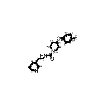 O=C(NCCc1cccnc1)N1CCC(Oc2ccc(F)cc2)CC1